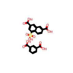 O=C(O)c1ccc2c(S(=O)(=O)O)cc(C(=O)O)cc2c1.O=C(O)c1cccc(C(=O)O)c1